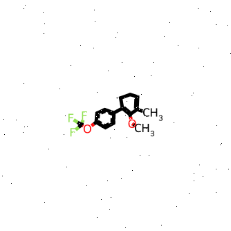 COC1=C(c2ccc(OC(F)(F)F)cc2)[CH]CC=C1C